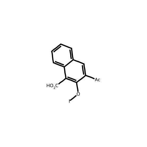 CC(=O)c1cc2ccccc2c(C(=O)O)c1OI